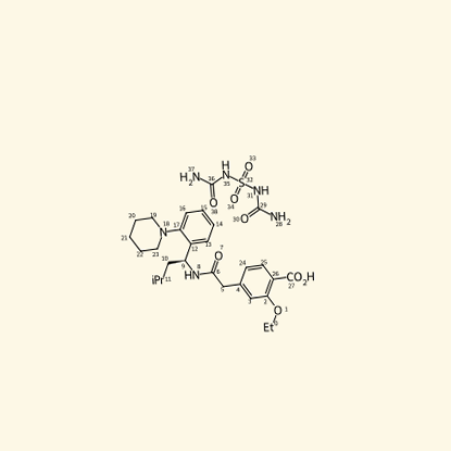 CCOc1cc(CC(=O)N[C@@H](CC(C)C)c2ccccc2N2CCCCC2)ccc1C(=O)O.NC(=O)NS(=O)(=O)NC(N)=O